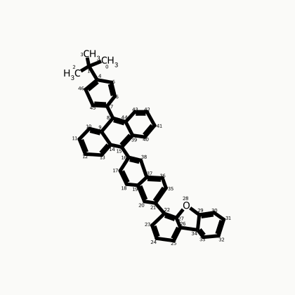 CC(C)(C)c1ccc(-c2c3ccccc3c(-c3ccc4cc(-c5cccc6c5oc5ccccc56)ccc4c3)c3ccccc23)cc1